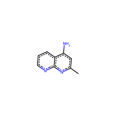 Cc1cc(N)c2cccnc2n1